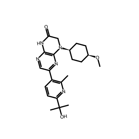 CO[C@H]1CC[C@@H](N2CC(=O)Nc3ncc(-c4ccc(C(C)(C)O)nc4C)nc32)CC1